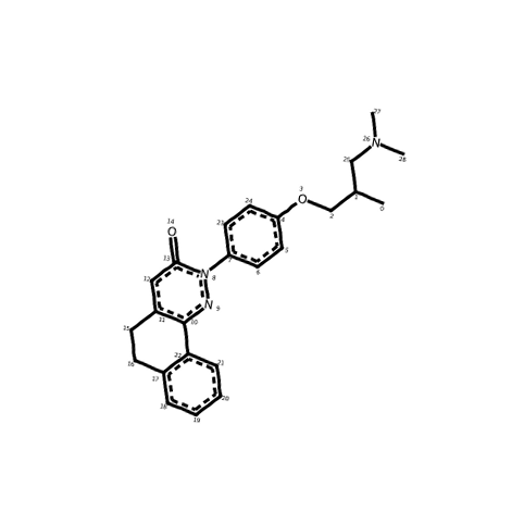 CC(COc1ccc(-n2nc3c(cc2=O)CCc2ccccc2-3)cc1)CN(C)C